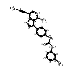 [CH2]C#Cc1cnc(N)c2c(-c3ccc(NC(=O)Nc4cccc(C(F)(F)F)c4)cc3)csc12